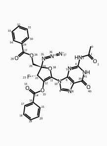 CC(=O)Nc1nc2c(ncn2C2=C(OC(=O)c3ccccc3)[C@H](F)[C@](COC(=O)c3ccccc3)(N=[N+]=[N-])O2)c(=O)[nH]1